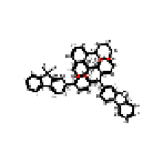 CC1(C)c2ccccc2-c2ccc(-c3ccc(N(c4ccc5c(c4)oc4ccccc45)c4ccccc4C4=c5c(C6CCCCC6)cccc5=CCC4)cc3)cc21